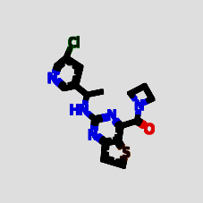 CC(Nc1nc(C(=O)N2CCC2)c2sccc2n1)c1cncc(Cl)c1